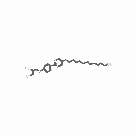 CCCCCCCCCCCCOc1cnc(-c2ccc(OCC(C)CC)cc2)nc1